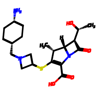 C[C@@H](O)[C@H]1C(=O)N2C(C(=O)O)=C(SC3CN(C[C@H]4CC[C@@H](N)CC4)C3)[C@H](C)[C@H]12